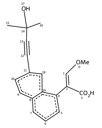 COC=C(C(=O)O)c1cccc2ccc(C#CC(C)(C)O)cc12